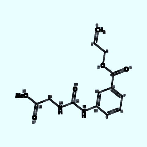 C=CCOC(=O)c1cccc(NC(=O)NCC(=O)OC)c1